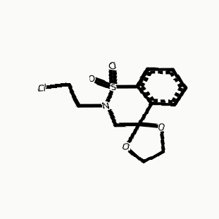 O=S1(=O)c2ccccc2C2(CN1CCCl)OCCO2